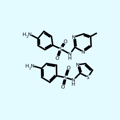 Cc1cnc(NS(=O)(=O)c2ccc(N)cc2)nc1.Nc1ccc(S(=O)(=O)Nc2nccs2)cc1